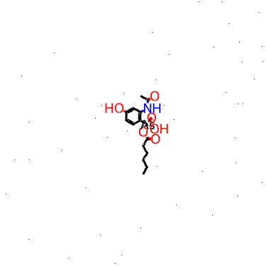 CCCCCC(=O)O[As](=O)(O)c1ccc(O)cc1NC(C)=O